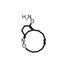 NOC1=C2CC/C=C\CCCCO/N=C(/CC1)C2